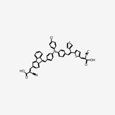 [C-]#[N+]/C(=C\c1ccc(/C(=C/c2ccc(N(c3ccc(Cl)cc3)c3ccc(/C=C4\c5ccccc5-c5cc(/C=C(\C#N)C(=O)O)ccc54)cc3)cc2)c2ccsc2)s1)C(=O)O